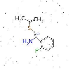 C=C(C)S/C=C(\N)c1ccccc1F